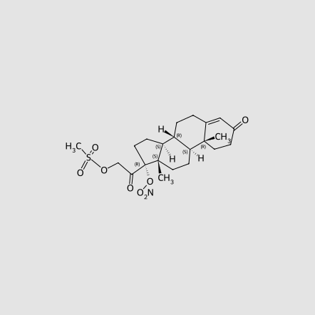 C[C@]12CCC(=O)C=C1CC[C@@H]1[C@@H]2CC[C@@]2(C)[C@H]1CC[C@]2(O[N+](=O)[O-])C(=O)COS(C)(=O)=O